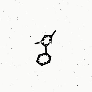 Cc1cn(C)c(-c2ccccc2)n1